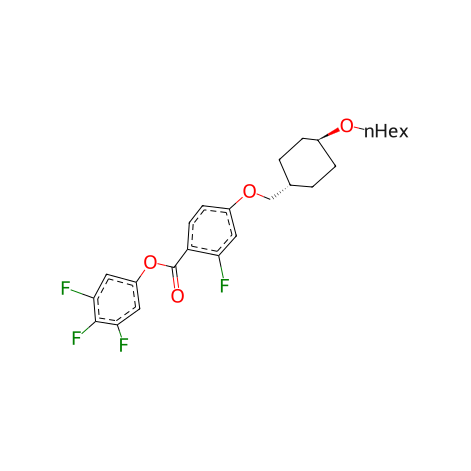 CCCCCCO[C@H]1CC[C@H](COc2ccc(C(=O)Oc3cc(F)c(F)c(F)c3)c(F)c2)CC1